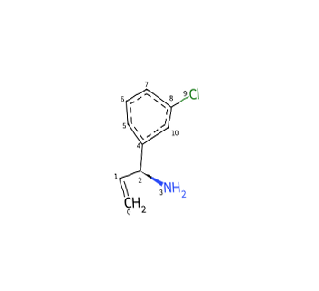 C=C[C@H](N)c1cccc(Cl)c1